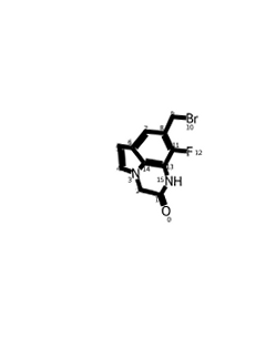 O=C1Cn2ccc3cc(CBr)c(F)c(c32)N1